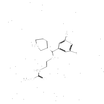 COC(=O)NCCOC(c1cc(F)cc(F)c1)[C@@H]1CCCNC1